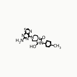 Cc1ccc(NC(=O)N2CCN(c3nc(N)nc4scnc34)C[C@@H]2CO)cc1